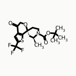 C[C@H]1C[C@@]2(CCN1C(=O)OC(C)(C)C)OCC(=O)c1cc(C(F)(F)F)sc12